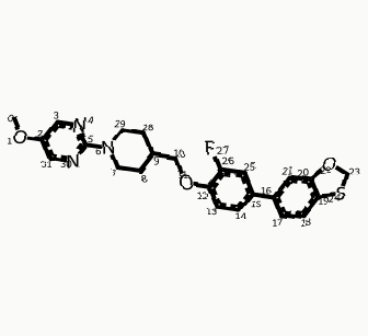 COc1cnc(N2CCC(COc3ccc(-c4ccc5c(c4)OCS5)cc3F)CC2)nc1